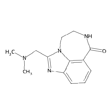 CN(C)Cc1nc2cccc3c2n1CCNC3=O